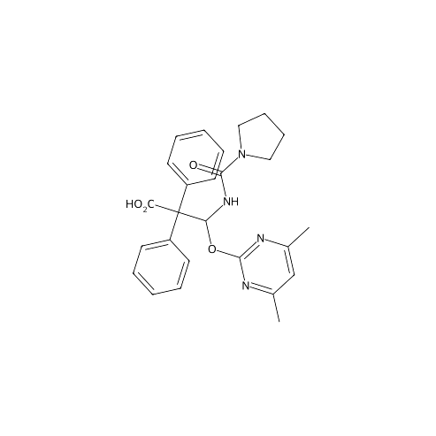 Cc1cc(C)nc(OC(NC(=O)N2CCCC2)C(C(=O)O)(c2ccccc2)c2ccccc2)n1